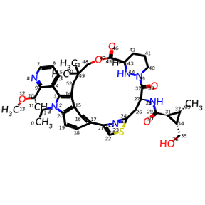 CCn1c(-c2cccnc2[C@H](C)OC)c2c3cc(ccc31)-c1csc(n1)C[C@H](NC(=O)[C@H]1[C@H](C)[C@@H]1CO)C(=O)N1CCC[C@H](N1)C(=O)OCC(C)(C)C2